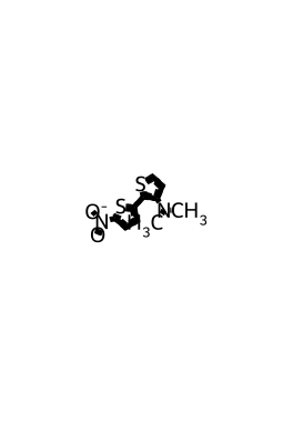 CN(C)c1ccsc1-c1ccc([N+](=O)[O-])s1